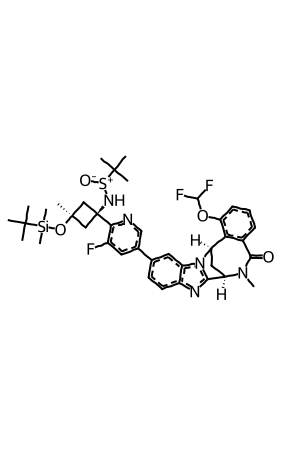 CN1C(=O)c2cccc(OC(F)F)c2[C@H]2C[C@@H]1c1nc3ccc(-c4cnc([C@]5(N[S+]([O-])C(C)(C)C)C[C@@](C)(O[Si](C)(C)C(C)(C)C)C5)c(F)c4)cc3n12